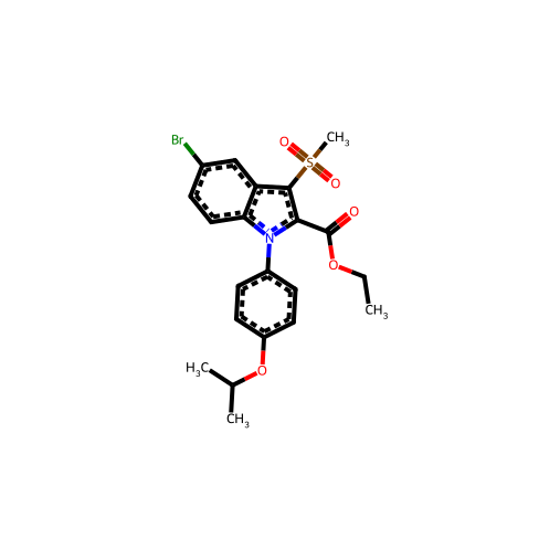 CCOC(=O)c1c(S(C)(=O)=O)c2cc(Br)ccc2n1-c1ccc(OC(C)C)cc1